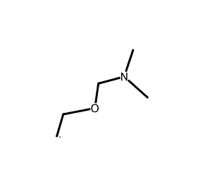 [CH2]COCN(C)C